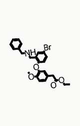 CCOC(=O)Cc1ccc(OC)c(Oc2ccc(Br)cc2CNCc2ccccc2)c1